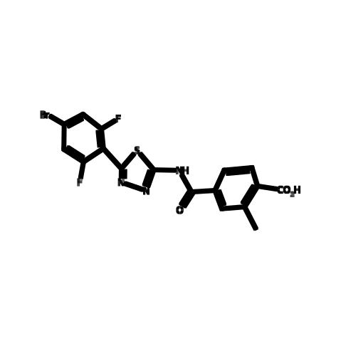 Cc1cc(C(=O)Nc2nnc(-c3c(F)cc(Br)cc3F)s2)ccc1C(=O)O